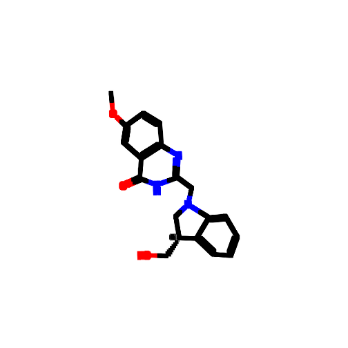 COc1ccc2nc(CN3C[C@@H](CO)c4ccccc43)[nH]c(=O)c2c1